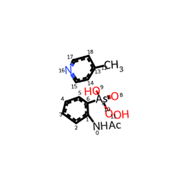 CC(=O)Nc1ccccc1[As](=O)(O)OO.Cc1ccncc1